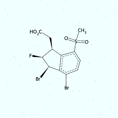 CS(=O)(=O)c1ccc(Br)c2c1[C@H](CC(=O)O)[C@H](F)[C@@H]2Br